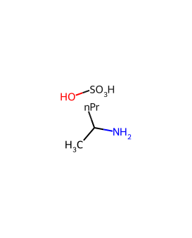 CCCC(C)N.O=S(=O)(O)O